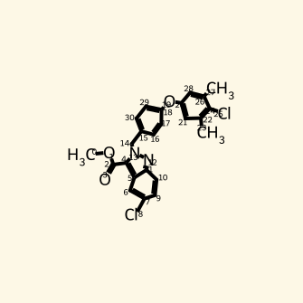 COC(=O)c1c2cc(Cl)ccc2nn1Cc1ccc(Oc2cc(C)c(Cl)c(C)c2)cc1